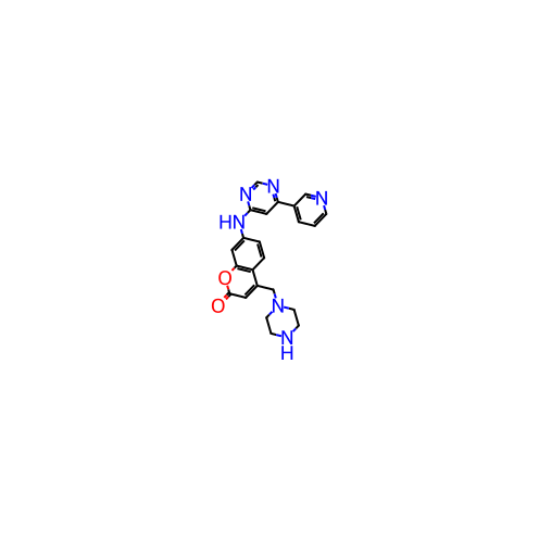 O=c1cc(CN2CCNCC2)c2ccc(Nc3cc(-c4cccnc4)ncn3)cc2o1